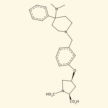 CN(C)C1(c2ccccc2)CCN(Cc2cccc(O[C@H]3C[C@@H](C(=O)O)N(C(=O)O)C3)c2)CC1